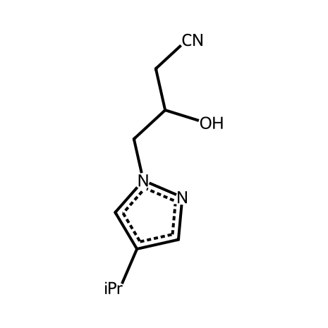 CC(C)c1cnn(CC(O)CC#N)c1